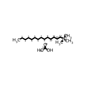 CCCCCCCCCCCCCC[N+](C)(C)C.O=C(O)O